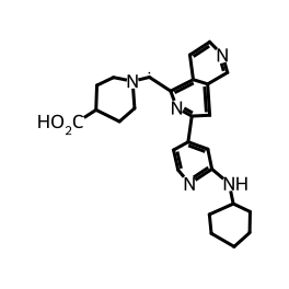 O=C(O)C1CCN([CH]c2nc(-c3ccnc(NC4CCCCC4)c3)cc3cnccc23)CC1